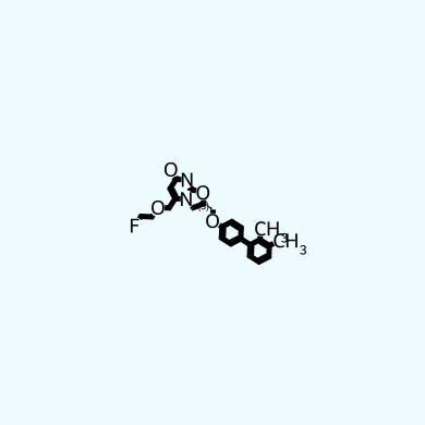 Cc1cccc(-c2ccc(OC[C@@H]3Cn4c(COCCF)cc(=O)nc4O3)cc2)c1C